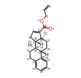 C=CCOC(=O)C1=CC[C@H]2[C@@H]3CCc4ccccc4[C@H]3CC[C@]12C